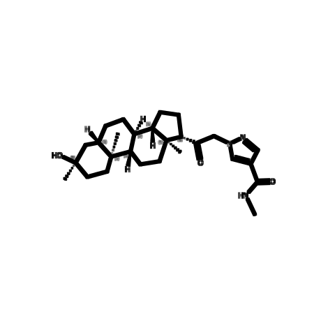 CNC(=O)c1cnn(CC(=O)[C@H]2CC[C@H]3[C@@H]4CC[C@H]5C[C@](C)(O)CC[C@]5(C)[C@H]4CC[C@]23C)c1